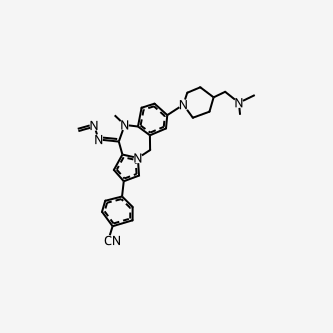 C=N/N=C1/c2cc(-c3ccc(C#N)cc3)cn2Cc2cc(N3CCC(CN(C)C)CC3)ccc2N1C